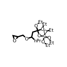 CCCC(CC(OCC)(OCC)O[Si](OCC)(OCC)OCC)OCC1CO1